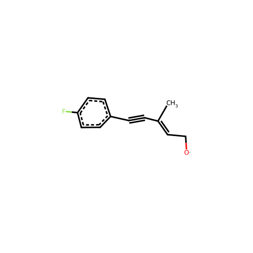 C/C(C#Cc1ccc(F)cc1)=C\C[O]